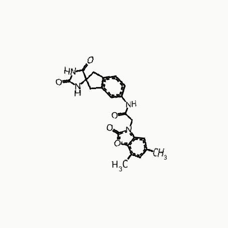 Cc1cc(C)c2oc(=O)n(CC(=O)Nc3ccc4c(c3)CC3(C4)NC(=O)NC3=O)c2c1